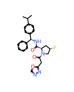 CC(C)c1ccc([C@@H](NC(=O)[C@H]2C[C@@H](F)CN2C(=O)Cc2nnco2)c2ccccc2)cc1